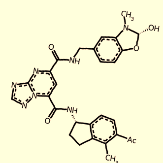 CC(=O)c1ccc2c(c1C)CC[C@@H]2NC(=O)c1cc(C(=O)NCc2ccc3c(c2)N(C)[C@H](O)O3)nc2ncnn12